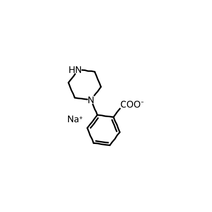 O=C([O-])c1ccccc1N1CCNCC1.[Na+]